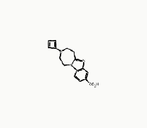 O=C(O)c1ccc2c(c1)nc1n2CCN(C2=CC=C2)CC1